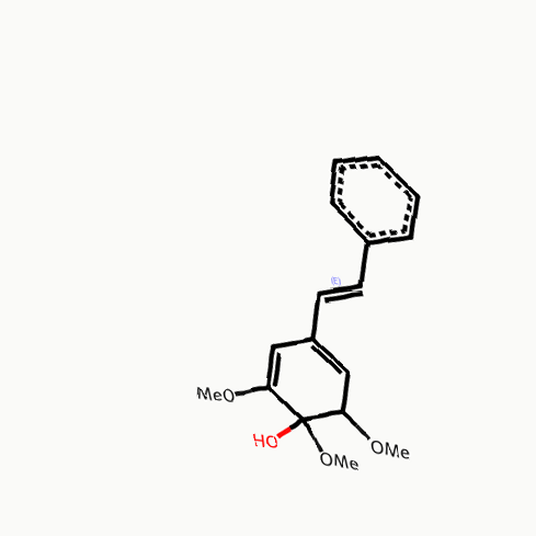 COC1=CC(/C=C/c2ccccc2)=CC(OC)C1(O)OC